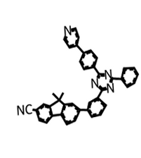 CC1(C)c2cc(C#N)ccc2-c2ccc(-c3cccc(-c4nc(-c5ccccc5)nc(-c5ccc(-c6ccncc6)cc5)n4)c3)cc21